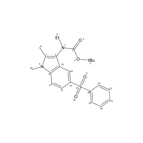 CCN(C(=O)OC(C)(C)C)c1c(C)n(C)c2ccc(S(=O)(=O)c3ccccc3)cc12